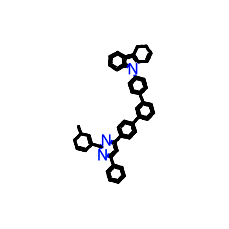 CC1C=C(c2nc(-c3ccccc3)cc(-c3ccc(-c4cccc(-c5ccc(-n6c7c(c8ccccc86)CCC=C7)cc5)c4)cc3)n2)C=CC1